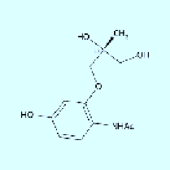 CC(=O)Nc1ccc(O)cc1OC[C@](C)(O)CO